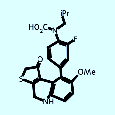 COc1ccc2c(c1-c1ccc(N(CC(C)C)C(=O)O)c(F)c1)C1=C(CN2)SCC1=O